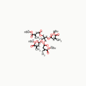 C=C(CC(=O)OCC(COC(=O)CC(=C)C(=O)OCCCC)(COC(=O)CC(=C)C(=O)OCCCC)COC(=O)CC(=C)C(=O)OCCCC)C(=O)OCCCC